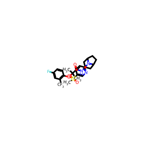 CC(C)(Oc1ccc(F)cc1C(F)(F)F)C(=O)NC1CC2CCC(C1)N2c1ccc(S(C)(=O)=O)cn1